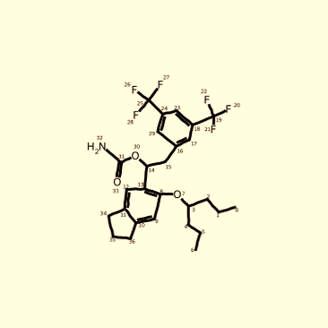 CCCC(CCC)Oc1cc2c(cc1C(Cc1cc(C(F)(F)F)cc(C(F)(F)F)c1)OC(N)=O)CCC2